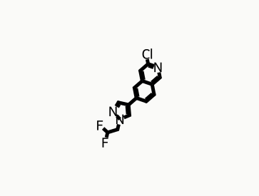 FC(F)Cn1cc(-c2ccc3cnc(Cl)cc3c2)cn1